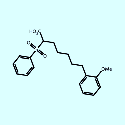 COc1ccccc1CCCCCC(C(=O)O)S(=O)(=O)c1ccccc1